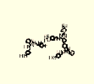 FC1(F)CCN(c2nc(NCc3ccc(OC(F)(F)F)cc3)c3ccccc3n2)CC1.Oc1ccc(CNc2nc(N3CCCCC3)nc3ccccc23)cc1.Oc1ccc(CNc2nc(NCc3ccc(F)cc3)nc3ccccc23)cc1